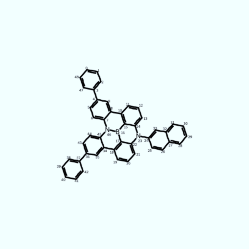 c1ccc(-c2ccc3c(c2)-c2cccc4c2B2c5c(cccc5N4c4ccc5ccccc5c4)-c4cc(-c5ccccc5)ccc4N23)cc1